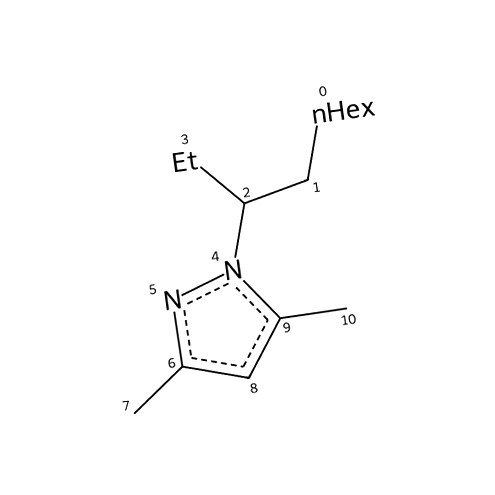 CCCCCCCC(CC)n1nc(C)cc1C